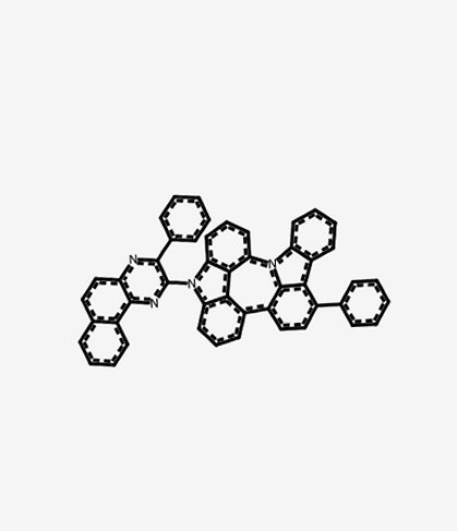 c1ccc(-c2nc3ccc4ccccc4c3nc2-n2c3cccc4c5ccc(-c6ccccc6)c6c7ccccc7n(c7cccc2c7c43)c56)cc1